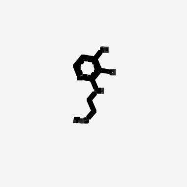 COCCNc1nccc(S)c1Cl